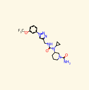 NC(=O)N1CCC[C@@H](N(C(=O)NCc2cn(-c3cccc(OC(F)(F)F)c3)nn2)C2CC2)C1